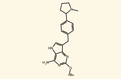 CCCCOc1nc(N)c2[nH]cc(Cc3ccc(C4CCCN4C)cc3)c2n1